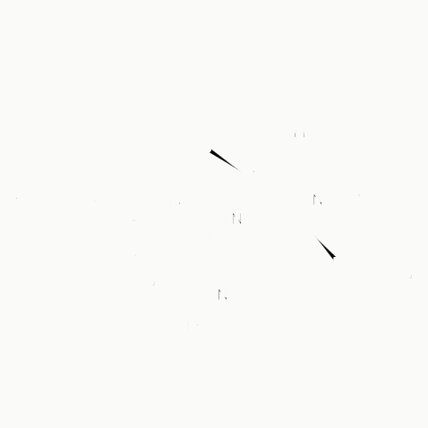 CC(C)C[C@H]1C(=O)N(C)[C@@H](c2ccccc2)CN1C(=O)c1nocc1-c1ccc(F)cc1